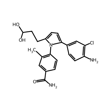 Cc1cc(C(N)=O)ccc1-n1c(CCC(O)O)ccc1-c1ccc(N)c(Cl)c1